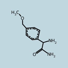 COCc1ccc(C(N)C(N)=O)cc1